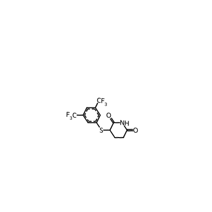 O=C1CCC(Sc2cc(C(F)(F)F)cc(C(F)(F)F)c2)C(=O)N1